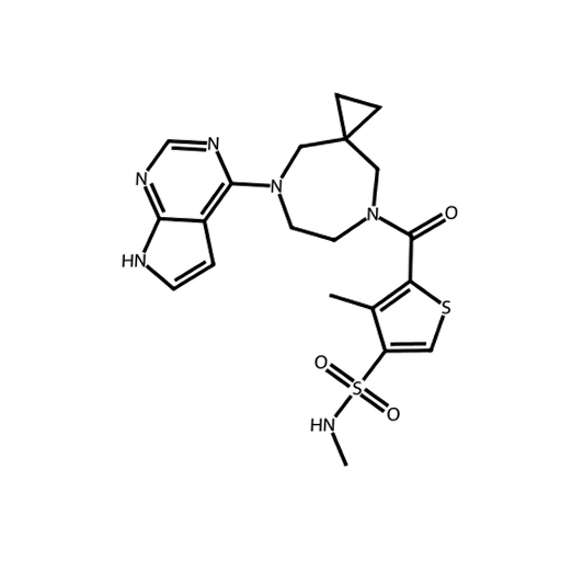 CNS(=O)(=O)c1csc(C(=O)N2CCN(c3ncnc4[nH]ccc34)CC3(CC3)C2)c1C